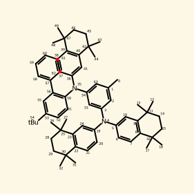 Cc1cc(N(c2ccc3c(c2)C(C)(C)CCC3(C)C)c2ccc3c(c2)C(C)(C)CCC3(C)C)cc(N(c2ccc3c(c2)C(C)(C)CCC3(C)C)c2ccc(C(C)(C)C)cc2-c2ccccc2)c1